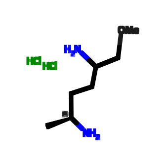 COCC(N)CC[C@H](C)N.Cl.Cl